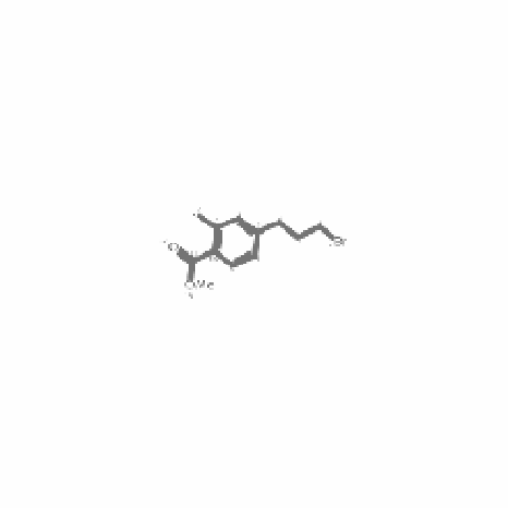 [CH2]c1cc(CCCBr)ccc1C(=O)OC